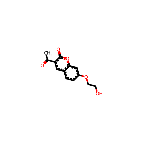 CC(=O)c1cc2ccc(OCCO)cc2oc1=O